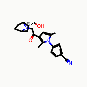 Cc1cc(C(=O)CN2C3CCC2[C@H](CO)C3)c(C)n1-c1ccc(C#N)cc1